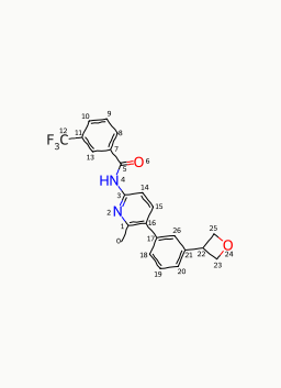 Cc1nc(NC(=O)c2cccc(C(F)(F)F)c2)ccc1-c1cccc(C2COC2)c1